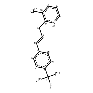 FC(F)(F)c1ccc(C=CCc2ncc[c]c2Cl)cc1